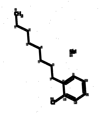 CCCCCCCCc1ccccc1Cl.[Sb]